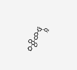 Cc1cc(-c2cncc(-c3ccc4cc(-c5c6ccccc6c(-c6ccccc6)c6ccccc56)ccc4c3)c2)ccn1